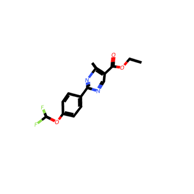 CCOC(=O)c1cnc(-c2ccc(OC(F)F)cc2)nc1C